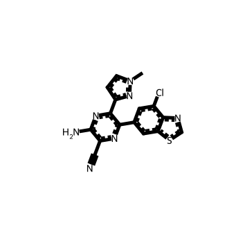 Cn1ccc(-c2nc(N)c(C#N)nc2-c2cc(Cl)c3ncsc3c2)n1